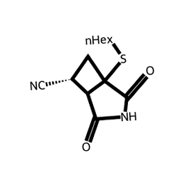 CCCCCCSC12C[C@@H](C#N)C1C(=O)NC2=O